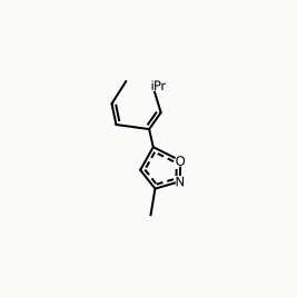 C/C=C\C(=C/C(C)C)c1cc(C)no1